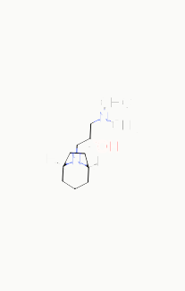 CN(C=O)C[C@H](O)CN1[C@@H]2C[CH]C[C@H]1CC2